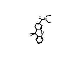 CCN(CC)C(=O)C1=CCC2C(=O)c3ccccc3OC2=C1